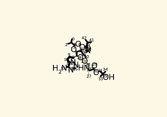 CC(C)C(=O)O[C@H]1[C@H](c2ccc3c(N)ncnn23)O[C@](C#N)(COCN[C@@H](C)C(=O)OCC(C)(C)O)[C@H]1OC(=O)C(C)C